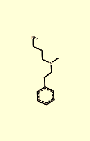 CN(CCCN)CCc1ccccc1